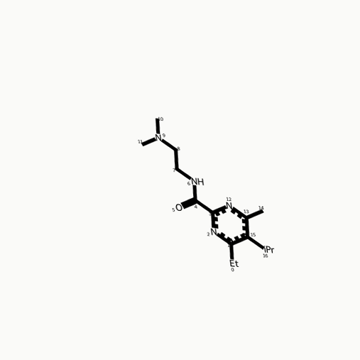 CCc1nc(C(=O)NCCN(C)C)nc(C)c1C(C)C